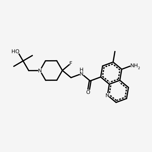 Cc1cc(C(=O)NCC2(F)CCN(CC(C)(C)O)CC2)c2ncccc2c1N